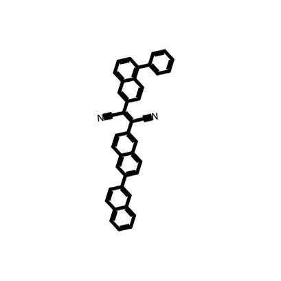 N#C/C(=C(/C#N)c1ccc2c(-c3ccccc3)cccc2c1)c1ccc2cc(-c3ccc4ccccc4c3)ccc2c1